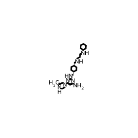 C[C@@H]1CN(c2cc(N)nc(NC[C@H]3CC[C@H](CNCCCNC4CCCCC4)CC3)n2)CCN1